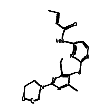 C/C=C/C(=O)Nc1ccnc(Sc2c(C)nc(N3CCOCC3)nc2C)n1